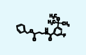 COC(C)(C)c1cc(F)cc(C(=O)NCCC(=O)OCc2ccccc2)c1